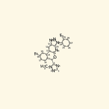 Cn1ncnc1COc1nc2c(cc1-c1cccc(F)c1)nnn2-c1ccccc1F